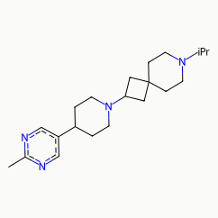 Cc1ncc(C2CCN(C3CC4(CCN(C(C)C)CC4)C3)CC2)cn1